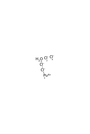 O.[Cl-].[Cl-].[Cl-].[Cl-].[Pu+4]